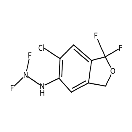 FN(F)Nc1cc2c(cc1Cl)C(F)(F)OC2